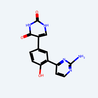 Nc1nccc(-c2cc(-c3c[nH]c(=O)[nH]c3=O)ccc2O)n1